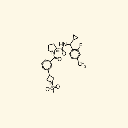 CS(=O)(=O)N1CC(c2cccc(C(=O)N3CCC[C@@H]3C(=O)NC(c3ccc(C(F)(F)F)cc3F)C3CC3)c2)C1